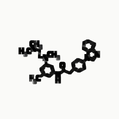 CN(C)CCN(C)c1cc(NC(=O)Cc2ccc(-n3cnc4ccccc43)cc2)cc(C(F)(F)F)c1